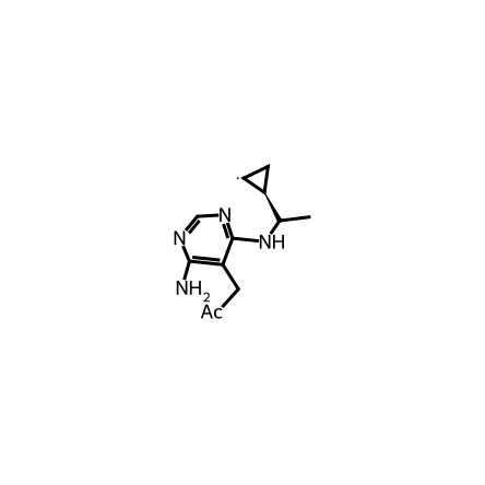 CC(=O)Cc1c(N)ncnc1NC(C)[C@H]1[CH]C1